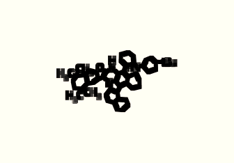 CC(C)(C)c1ccc(Nc2ccccc2-c2c3c4c(c5ccccc25)c2c5ccccc5ccc2n4-c2c(oc4cc5c(cc24)C(C)(C)CCC5(C)C)B3)cc1